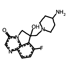 NC1CCN(CC2(O)Cn3c(=O)cnc4ccc(F)c2c43)CC1